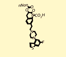 CCCCCCCCCC(=O)OC1Cc2ccc(CCN3CCN(c4cc(F)cc5sccc45)CC3)cc2N(C(=O)O)C1=O